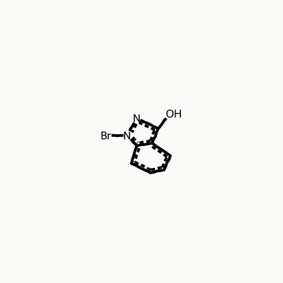 Oc1nn(Br)c2ccccc12